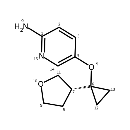 Nc1ccc(OC2([C@@H]3CCOC3)CC2)cn1